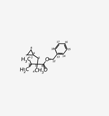 C=C(C)C(C)(CC1CC1)C(=O)OCc1ccccc1